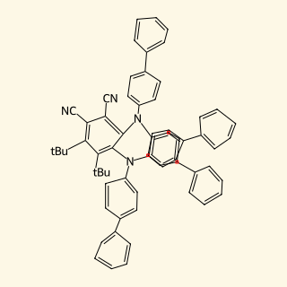 CC(C)(C)c1c(C#N)c(C#N)c(N(c2ccc(-c3ccccc3)cc2)c2ccc(-c3ccccc3)cc2)c(N(c2ccc(-c3ccccc3)cc2)c2ccc(-c3ccccc3)cc2)c1C(C)(C)C